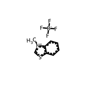 C[n+]1csc2ccccc21.F[B-](F)(F)F